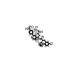 CC(C)(C)NC(=O)CC(NC(=O)C=Cc1cc(Cl)ccc1-n1cnnn1)c1cc(-c2ccc(NC(=O)O)cc2)nnc1Cl